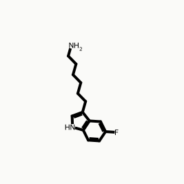 NCCCCCCc1c[nH]c2ccc(F)cc12